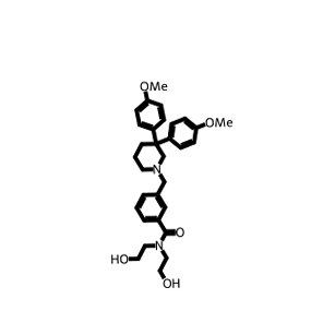 COc1ccc(C2(c3ccc(OC)cc3)CCCN(Cc3cccc(C(=O)N(CCO)CCO)c3)C2)cc1